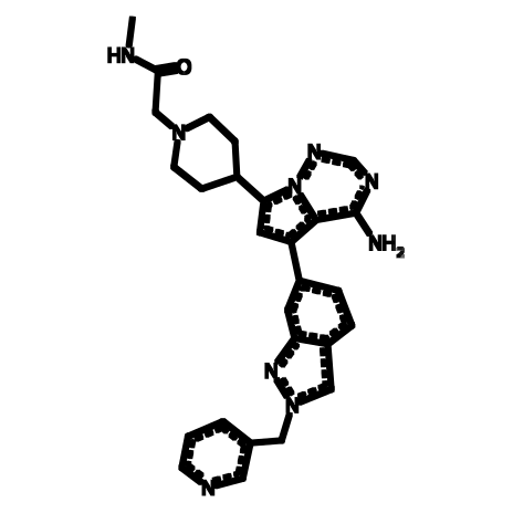 CNC(=O)CN1CCC(c2cc(-c3ccc4cn(Cc5cccnc5)nc4c3)c3c(N)ncnn23)CC1